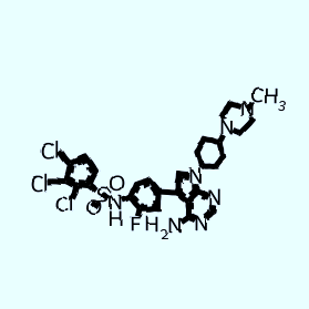 CN1CCN(C2CCC(n3cc(-c4ccc(NS(=O)(=O)c5ccc(Cl)c(Cl)c5Cl)c(F)c4)c4c(N)ncnc43)CC2)CC1